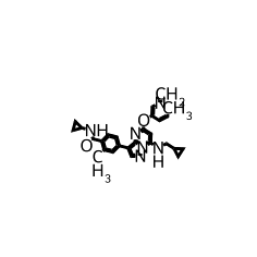 C=N/C=C(\C=C/C)Oc1cc(NCC2CC2)n2ncc(-c3ccc(C(=O)NC4CC4)c(C)c3)c2n1